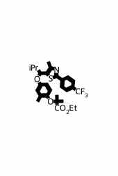 CCOC(=O)C(C)(C)Oc1ccc(OC(c2sc(-c3ccc(C(F)(F)F)cc3)nc2C)C(C)C)cc1C